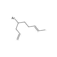 C=CCC(CCC=CC)C(C)=O